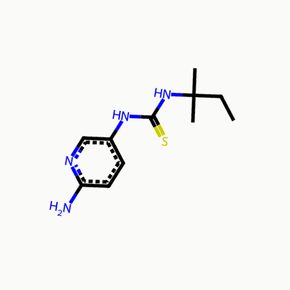 CCC(C)(C)NC(=S)Nc1ccc(N)nc1